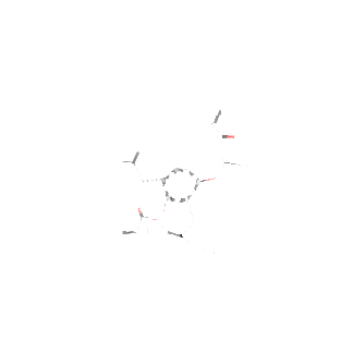 C=CC(=O)Oc1c(CC(=C)C)ccc(OC(C)OC(=O)C=C)c1CC(=C)C